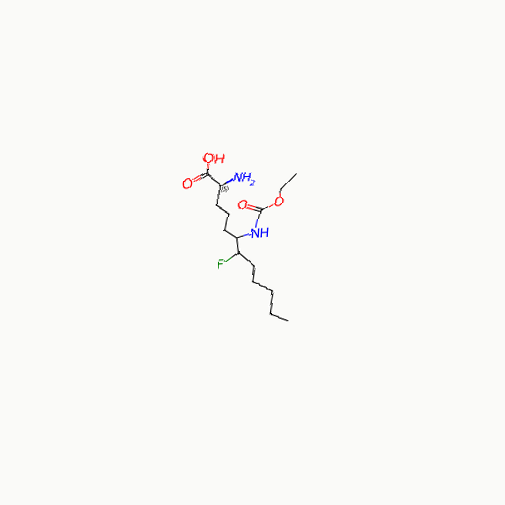 CCCCCC(F)C(CCC[C@H](N)C(=O)O)NC(=O)OCC